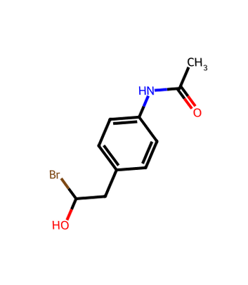 CC(=O)Nc1ccc(CC(O)Br)cc1